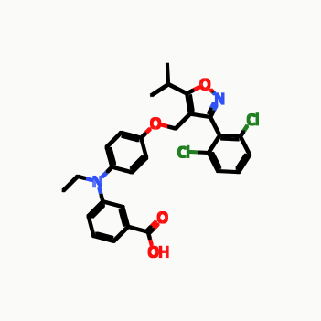 CCN(c1ccc(OCc2c(-c3c(Cl)cccc3Cl)noc2C(C)C)cc1)c1cccc(C(=O)O)c1